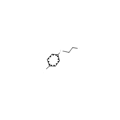 CC(=O)CCNc1ccc(C(=O)O)cc1